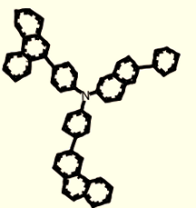 c1ccc(-c2ccc3cc(N(c4ccc(-c5ccc6ccc7ccccc7c6c5)cc4)c4ccc(-c5cc6ccccc6c6ccccc56)cc4)ccc3c2)cc1